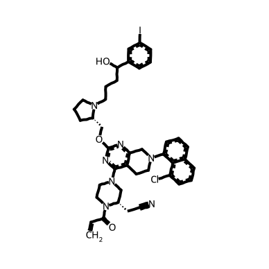 C=CC(=O)N1CCN(c2nc(OC[C@@H]3CCCN3CCCC(O)c3cccc(I)c3)nc3c2CCN(c2cccc4cccc(Cl)c24)C3)C[C@@H]1CC#N